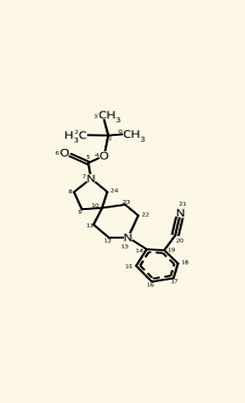 CC(C)(C)OC(=O)N1CCC2(CCN(c3ccccc3C#N)CC2)C1